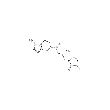 N[C@@H](CC(=O)N1CCn2c(nnc2C(F)(F)F)C1)CN1CCC(F)C1=O